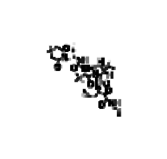 C=CCNC(=O)C(=O)C(CC1CC1)NC(=O)[C@@H]1[C@@H]2[C@H](CN1C(=O)[C@@H](NC(=O)N[C@H](CN1C(=O)CC(C)(C)CC1=O)C(C)(C)C)C(C)(C)C)C2(C)C